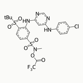 CN(OC(=O)C(F)(F)F)S(=O)(=O)c1ccc(S(=O)(=O)C(C)(C)C)c(Nc2cc(Nc3ccc(Cl)cc3)ncn2)c1